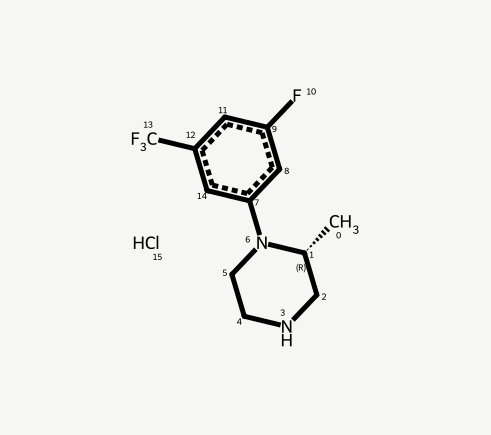 C[C@@H]1CNCCN1c1cc(F)cc(C(F)(F)F)c1.Cl